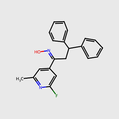 Cc1cc(C(CC(c2ccccc2)c2ccccc2)=NO)cc(F)n1